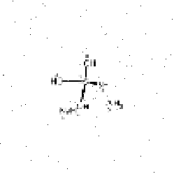 O[Si](O)(O)S.[AlH3].[NaH]